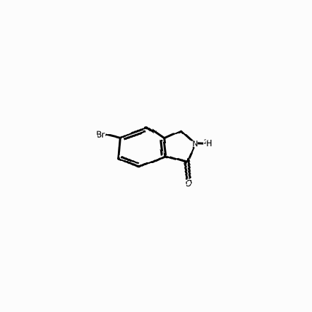 [2H]N1Cc2cc(Br)ccc2C1=O